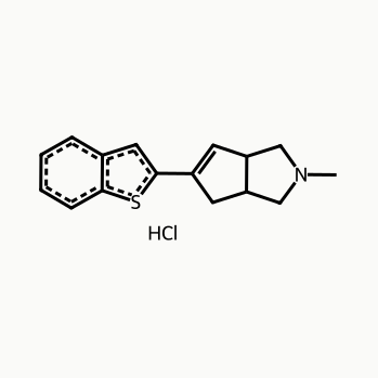 CN1CC2C=C(c3cc4ccccc4s3)CC2C1.Cl